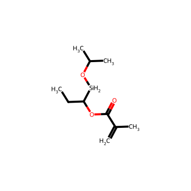 C=C(C)C(=O)OC(CC)[SiH2]OC(C)C